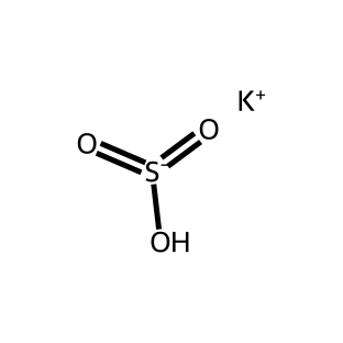 O=[S-](=O)O.[K+]